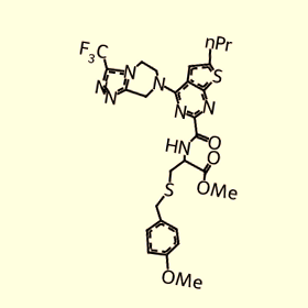 CCCc1cc2c(N3CCn4c(nnc4C(F)(F)F)C3)nc(C(=O)NC(CSCc3ccc(OC)cc3)C(=O)OC)nc2s1